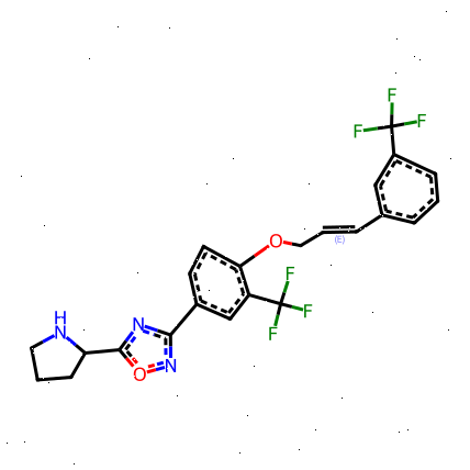 FC(F)(F)c1cccc(/C=C/COc2ccc(-c3noc(C4CCCN4)n3)cc2C(F)(F)F)c1